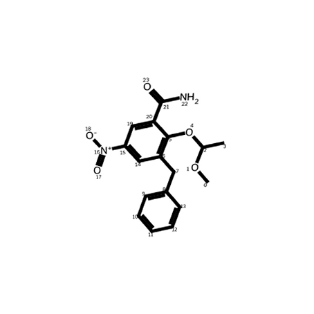 COC(C)Oc1c(Cc2ccccc2)cc([N+](=O)[O-])cc1C(N)=O